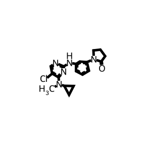 CN(c1nc(Nc2cccc(N3CCCC3=O)c2)ncc1Cl)C1CC1